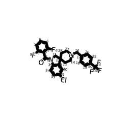 O=C(c1c(F)cccc1F)N1CC2(CCN(Cc3ccc(C(F)(F)F)cc3)CC2)c2cc(Cl)ccc21